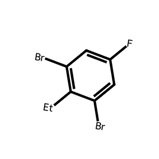 CCc1c(Br)cc(F)cc1Br